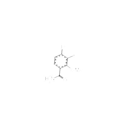 COc1c(C(N)=O)ccc(F)c1F